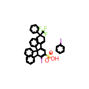 Ic1ccccc1.O=S(=O)(O)C1=C(I)C(c2ccccc2)C(c2ccccc2)(c2ccccc2)C(C2=CCC(c3ccccc3)(C(F)(F)F)C=C2)=C1